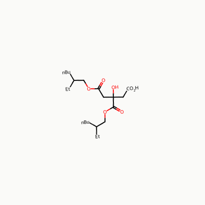 CCCCC(CC)COC(=O)CC(O)(CC(=O)O)C(=O)OCC(CC)CCCC